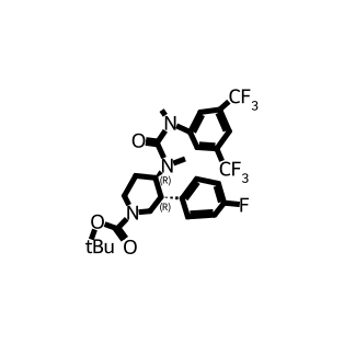 CN(C(=O)N(C)[C@@H]1CCN(C(=O)OC(C)(C)C)C[C@H]1c1ccc(F)cc1)c1cc(C(F)(F)F)cc(C(F)(F)F)c1